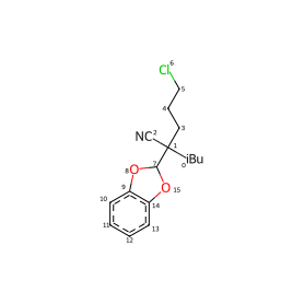 CCC(C)C(C#N)(CCCCl)C1Oc2ccccc2O1